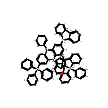 c1ccc(N2c3ccc([Si](c4ccccc4)(c4ccccc4)c4ccccc4)cc3B3c4ccccc4N(c4ccccc4[Si](c4ccccc4)(c4ccccc4)c4ccccc4)c4cc(-n5c6ccccc6c6ccccc65)cc2c43)cc1